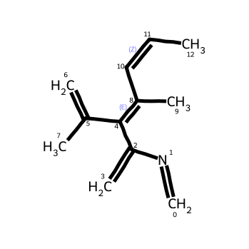 C=NC(=C)/C(C(=C)C)=C(C)/C=C\C